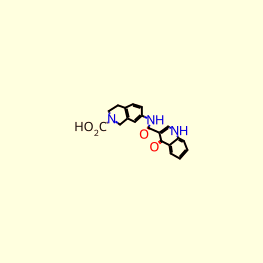 O=C(Nc1ccc2c(c1)CN(C(=O)O)CC2)c1c[nH]c2ccccc2c1=O